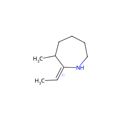 C/C=C1/NCCCCC1C